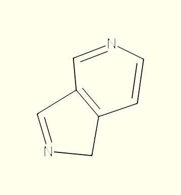 [c]1nccc2c1C=NC2